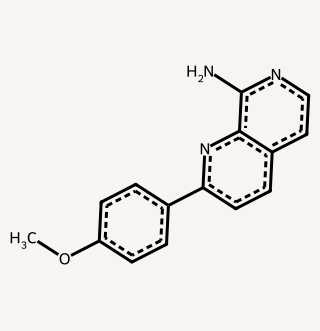 COc1ccc(-c2ccc3ccnc(N)c3n2)cc1